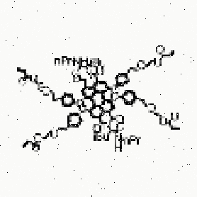 C=CC(=O)OCCOCCc1ccc(Oc2cc3c4c(cc(Oc5ccc(CCOCCOC(=O)C=C)cc5)c5c6c(Oc7ccc(CCOCCOC(=O)C=C)cc7)cc7c8c(cc(Oc9ccc(CCOCCOC(=O)C=C)cc9)c(c2c45)c86)C(=O)N(C(C(=O)NCCC)C(C)CC)C7=O)C(=O)N(C(C(=O)NCCC)C(C)CC)C3=O)cc1